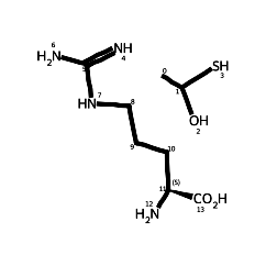 CC(O)S.N=C(N)NCCC[C@H](N)C(=O)O